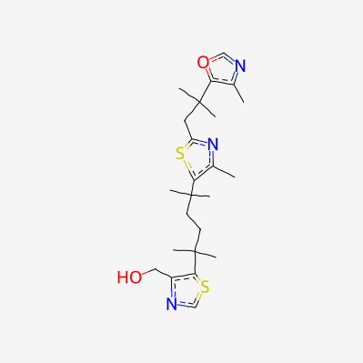 Cc1ncoc1C(C)(C)Cc1nc(C)c(C(C)(C)CCC(C)(C)c2scnc2CO)s1